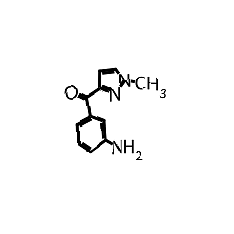 Cn1ccc(C(=O)c2cccc(N)c2)n1